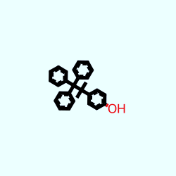 CC(C)(c1ccc(O)cc1)C(c1ccccc1)(c1ccccc1)c1ccccc1